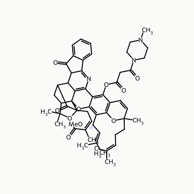 COC(=O)/C(C)=C\CC12OC(C)(C)C3CC(C1=O)C1C4=C(N=C5c6ccccc6C(=O)C51)c1c(OC(=O)CC(=O)N5CCN(C)CC5)c5c(c(CC=C(C)C)c1OC432)OC(C)(CCC=C(C)C)C=C5